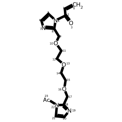 C=CC(=O)n1ccnc1COCCOCCOCc1nccn1C(C)=O